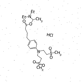 CCN(CC)C(C)OC(=O)CCCc1ccc(N(CCS(C)(=O)=O)CCS(C)(=O)=O)cc1.Cl